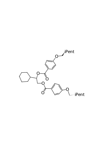 CCC[C@@H](C)COc1ccc(C(=O)OCC(OC(=O)c2ccc(OC[C@H](C)CCC)cc2)C2CCCCC2)cc1